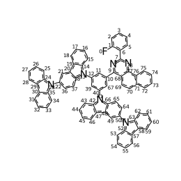 Fc1ccccc1-c1nc(-c2cc(-n3c4ccccc4c4cc(-n5c6ccccc6c6ccccc65)ccc43)cc(-n3c4ccccc4c4cc(-n5c6ccccc6c6ccccc65)ccc43)c2)c2ccc3ccccc3c2n1